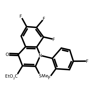 CCOC(=O)c1c(SC)n(-c2ccc(F)cc2F)c2c(F)c(F)c(F)cc2c1=O